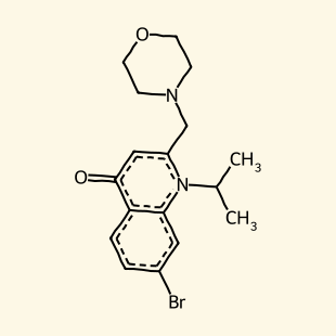 CC(C)n1c(CN2CCOCC2)cc(=O)c2ccc(Br)cc21